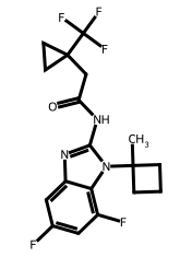 CC1(n2c(NC(=O)CC3(C(F)(F)F)CC3)nc3cc(F)cc(F)c32)CCC1